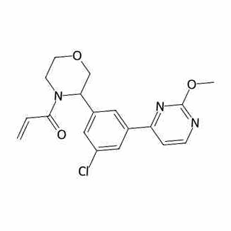 C=CC(=O)N1CCOCC1c1cc(Cl)cc(-c2ccnc(OC)n2)c1